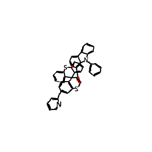 c1ccc(-n2c3ccccc3c3cccc(-c4cccc5c4C4(c6ccccc6Sc6ccccc64)c4ccc(-c6ccccn6)cc4S5)c32)cc1